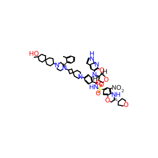 Cc1ccccc1[C@@H]1CN(C2CCC3(CC2)CCC(C)(O)CC3)CCN1C1CC2(CCN(c3ccc(C(=O)NS(=O)(=O)c4cc5c(c([N+](=O)[O-])c4)N[C@H](C4CCOCC4)CO5)c(N4c5cc6cc[nH]c6nc5O[C@H]5COCC[C@@H]54)c3)CC2)C1